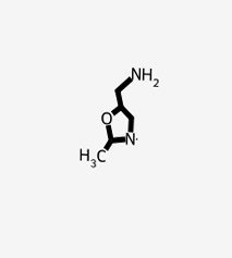 CC1[N]CC(CN)O1